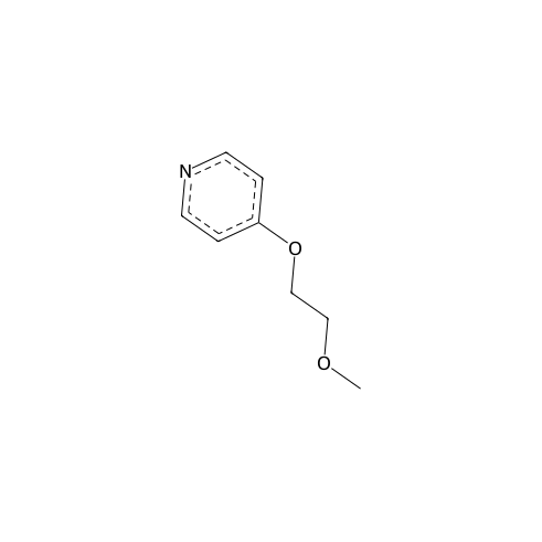 COCCOc1ccncc1